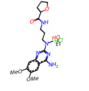 CCO.COc1cc2nc(N(C)CCCNC(=O)C3CCCO3)nc(N)c2cc1OC.Cl